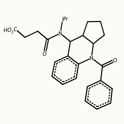 CC(C)N(C(=O)CCC(=O)O)C1c2ccccc2N(C(=O)c2ccccc2)C2CCCC21